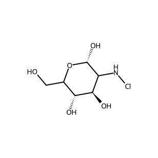 OCC1O[C@H](O)C(NCl)[C@@H](O)[C@@H]1O